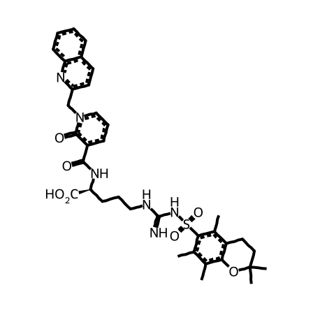 Cc1c(C)c(S(=O)(=O)NC(=N)NCCC[C@H](NC(=O)c2cccn(Cc3ccc4ccccc4n3)c2=O)C(=O)O)c(C)c2c1OC(C)(C)CC2